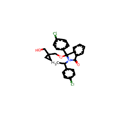 CC(c1ccc(Cl)cc1)N1C(=O)c2ccccc2C1(OCC1(CO)CC1)c1ccc(Cl)cc1